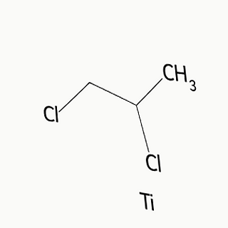 CC(Cl)CCl.[Ti]